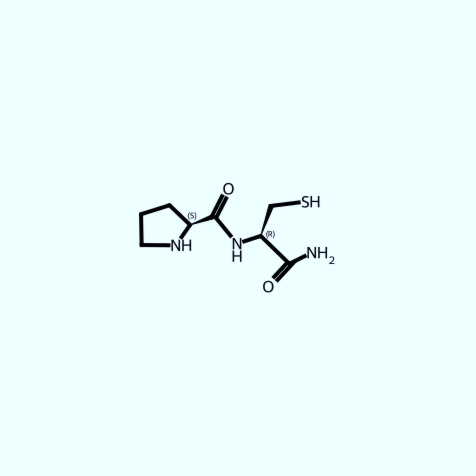 NC(=O)[C@H](CS)NC(=O)[C@@H]1CCCN1